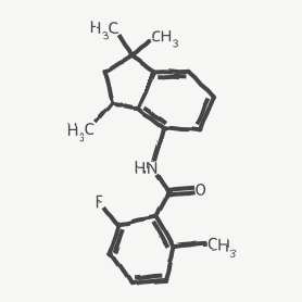 Cc1cccc(F)c1C(=O)Nc1cccc2c1C(C)CC2(C)C